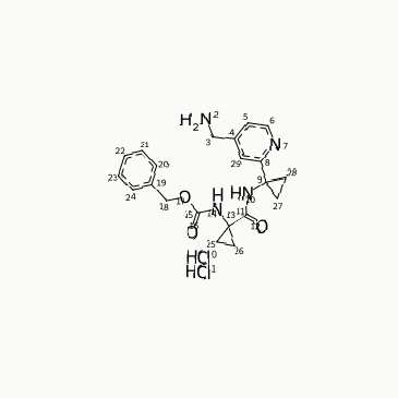 Cl.Cl.NCc1ccnc(C2(NC(=O)C3(NC(=O)OCc4ccccc4)CC3)CC2)c1